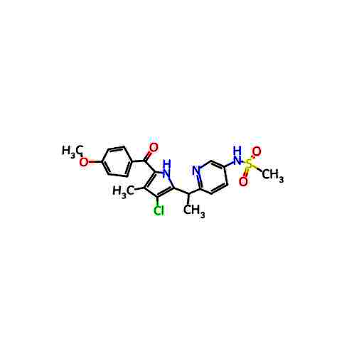 COc1ccc(C(=O)c2[nH]c(C(C)c3ccc(NS(C)(=O)=O)cn3)c(Cl)c2C)cc1